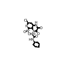 O=C(Nc1ccccc1)Nn1c(=O)c(=O)[nH]c2cc(Cl)nc([N+](=O)[O-])c21